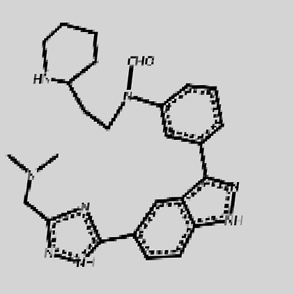 CN(C)Cc1n[nH]c(-c2ccc3[nH]nc(-c4cccc(N(C=O)CCC5CCCCN5)c4)c3c2)n1